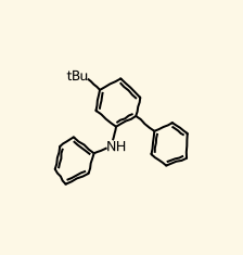 CC(C)(C)c1ccc(-c2ccccc2)c(Nc2ccccc2)c1